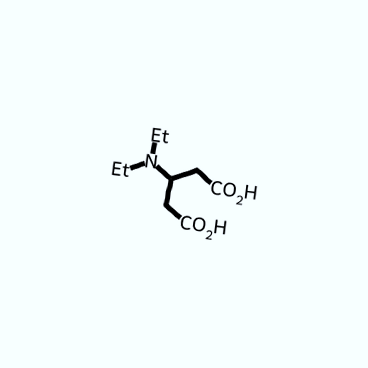 CCN(CC)C(CC(=O)O)CC(=O)O